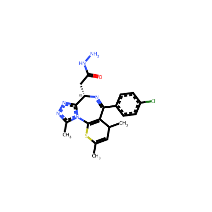 CC1=CC(C)C2=C(S1)n1c(C)nnc1[C@H](CC(=O)NN)N=C2c1ccc(Cl)cc1